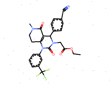 CCOC(=O)CN1C(=O)N(c2cccc(C(F)(F)F)c2)C2=C(C(=O)N(C)CC2)C1c1ccc(C#N)cc1